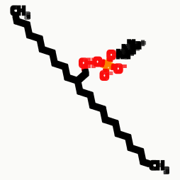 CCCCCCCCCCCCC(CO)CCCCCCCCCC.O=P([O-])([O-])[O-].[Na+].[Na+].[Na+]